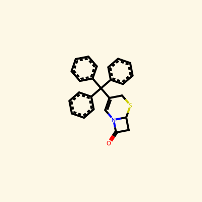 O=C1CC2SCC(C(c3ccccc3)(c3ccccc3)c3ccccc3)=CN12